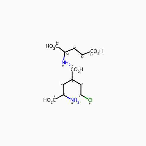 NC(CC(CCCl)C(=O)O)C(=O)O.NC(CCC(=O)O)C(=O)O